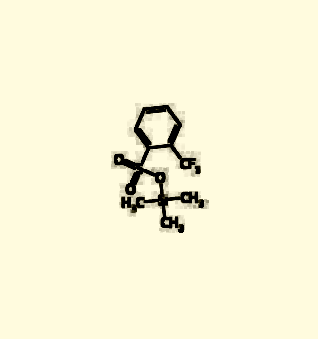 C[Si](C)(C)OS(=O)(=O)c1ccccc1C(F)(F)F